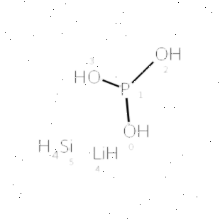 OP(O)O.[LiH].[SiH4]